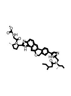 CCC(C)CC(=O)N(Cc1ncc(-c2ccc3c(c2)COc2cc4c(ccc5nc(C6CC[C@H](C)N6C(=O)CNC(=O)OC)[nH]c54)cc2-3)[nH]1)[C@@H](C)CC